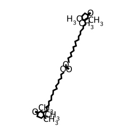 CC1=C(CCCCCCCCCCCCCCCOC(=O)OCCCCCCCCCCCCCCCC2=C(C)C(=O)CCC2(C)C)C(C)(C)CCC1=O